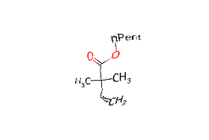 C=CC(C)(C)C(=O)OCCCCC